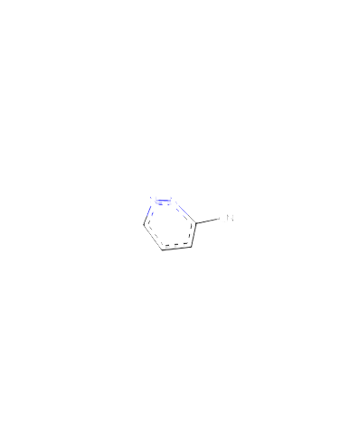 N#Cc1[c]ccnn1